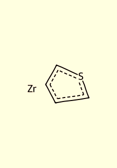 [Zr].c1ccsc1